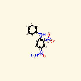 N[N+](=O)c1ccc(Nc2cc[c]cc2)c([N+](=O)[O-])c1